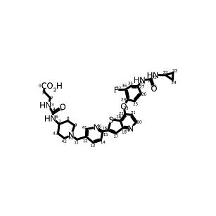 O=C(O)CCNC(=O)NC1CCN(Cc2ccc(-c3cc4nccc(Oc5ccc(NC(=O)NC6CC6)cc5F)c4s3)nc2)CC1